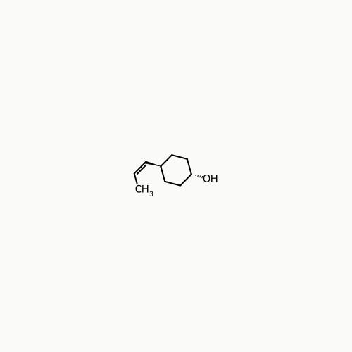 C/C=C\[C@H]1CC[C@H](O)CC1